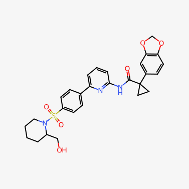 O=C(Nc1cccc(-c2ccc(S(=O)(=O)N3CCCCC3CO)cc2)n1)C1(c2ccc3c(c2)OCO3)CC1